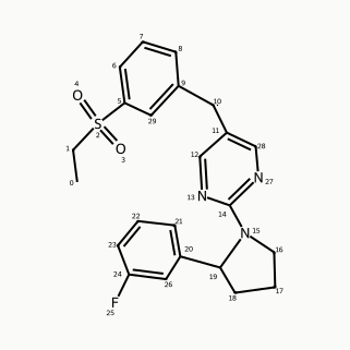 CCS(=O)(=O)c1cccc([CH]c2cnc(N3CCCC3c3cccc(F)c3)nc2)c1